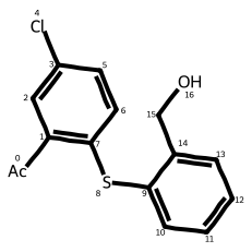 CC(=O)c1cc(Cl)ccc1Sc1ccccc1CO